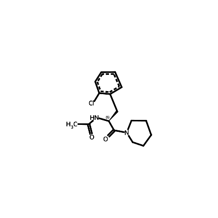 CC(=O)N[C@@H](Cc1ccccc1Cl)C(=O)N1CCCCC1